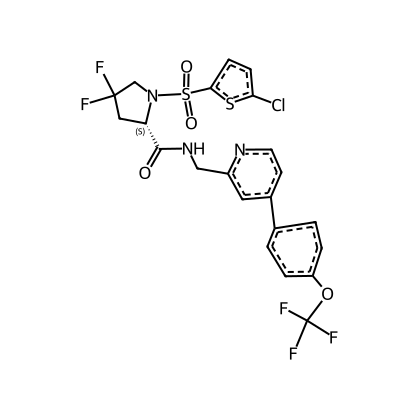 O=C(NCc1cc(-c2ccc(OC(F)(F)F)cc2)ccn1)[C@@H]1CC(F)(F)CN1S(=O)(=O)c1ccc(Cl)s1